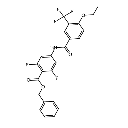 CCOc1ccc(C(=O)Nc2cc(F)c(C(=O)OCc3ccccc3)c(F)c2)cc1C(F)(F)F